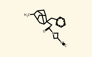 [C-]#[N+]C1CN(C(=O)CC2(Cc3ccccc3)C3CC4CC2CC(C3)C4C)C1